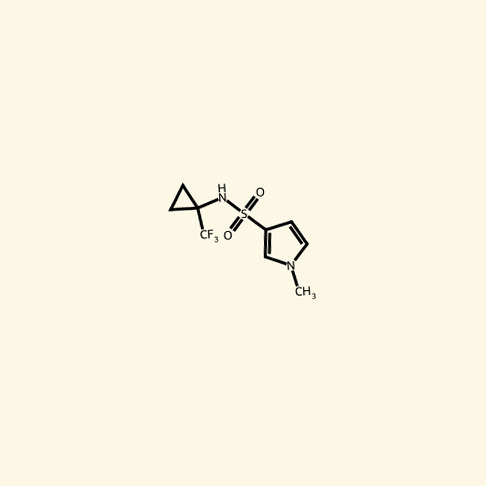 Cn1ccc(S(=O)(=O)NC2(C(F)(F)F)CC2)c1